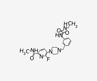 CCNS(=O)(=O)Nc1cccc(CN2CCN(c3ccc(C(=O)NC)nc3F)CC2)c1